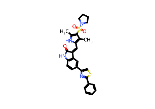 Cc1[nH]c(/C=C2\C(=O)Nc3ccc(-c4csc(-c5ccccc5)n4)cc32)c(C)c1S(=O)(=O)N1CCCC1